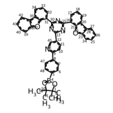 CC1(C)OB(c2ccc(-c3ccc(-c4nc(-c5cccc6c5oc5ccccc56)nc(-c5cccc6c5oc5ccccc56)n4)cn3)cc2)OC1(C)C